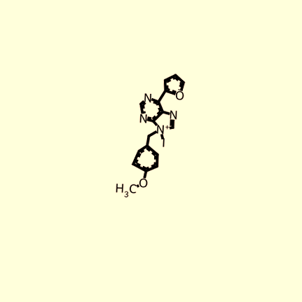 COc1ccc(C[N+]2(I)C=Nc3c(-c4ccco4)ncnc32)cc1